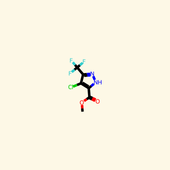 COC(=O)c1[nH]nc(C(F)(F)F)c1Cl